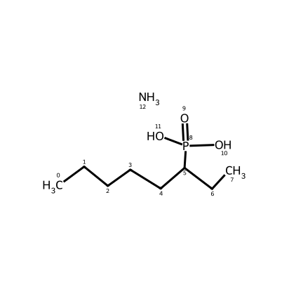 CCCCCC(CC)P(=O)(O)O.N